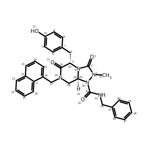 CN1C(=O)N2[C@@H](Cc3ccc(O)cc3)C(=O)N(Cc3cccc4ccccc34)C[C@@H]2N1C(=O)NCc1ccccc1